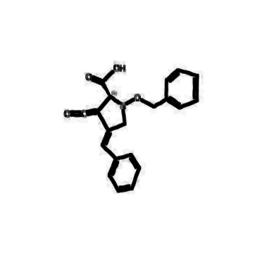 O=C=C1C(=Cc2ccccc2)CN(OCc2ccccc2)[C@@H]1C(=O)O